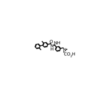 Cc1ccccc1-c1ccc(C(=O)NC(=N)c2cccc(CN(C)CC(=O)O)c2)cc1C